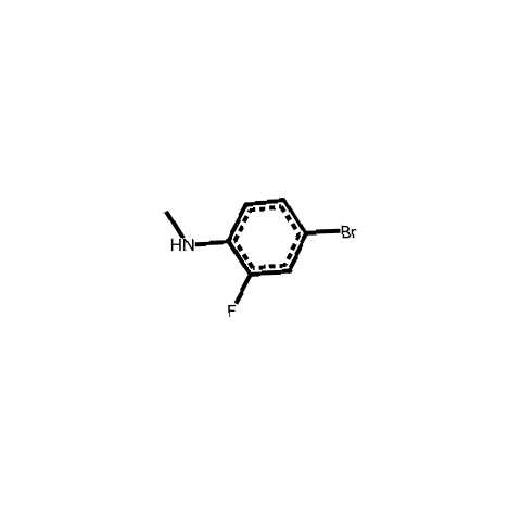 CNc1ccc(Br)cc1F